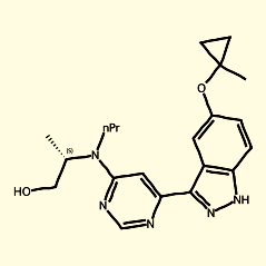 CCCN(c1cc(-c2n[nH]c3ccc(OC4(C)CC4)cc23)ncn1)[C@@H](C)CO